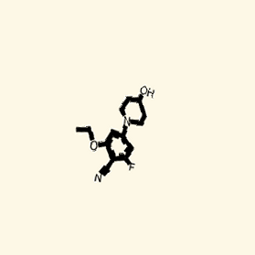 CCOc1cc(N2CCC(O)CC2)cc(F)c1C#N